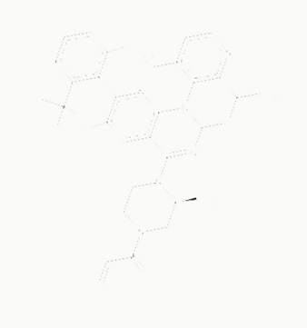 C=CC(=O)N1CCN(C2=NC3OC(C)c4nccc(SC)c4N3c3nc(-c4c(F)cccc4C(F)(F)F)c(Cl)cc32)[C@@H](C)C1